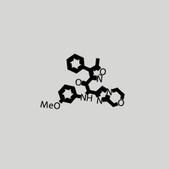 COc1cccc(NC(C(=O)c2noc(C)c2-c2ccccc2)c2cn3c(n2)COCC3)c1